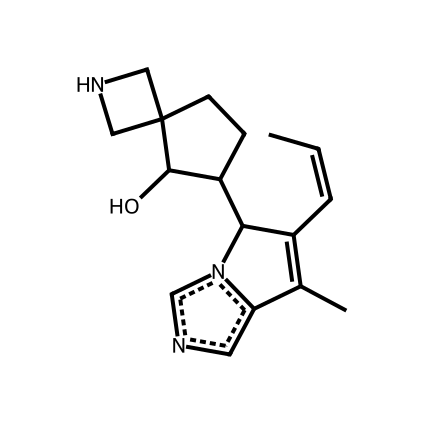 C/C=C\C1=C(C)c2cncn2C1C1CCC2(CNC2)C1O